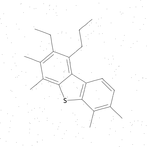 CCCc1c(CC)c(C)c(C)c2sc3c(C)c(C)ccc3c12